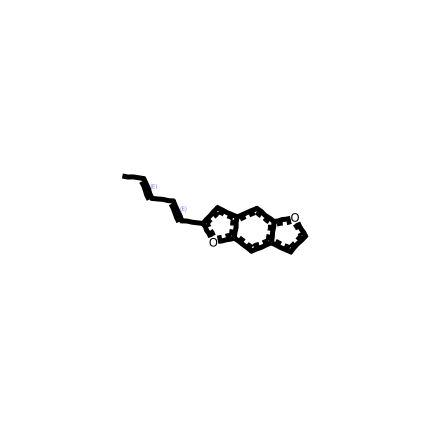 C/C=C/C=C/c1cc2cc3occc3cc2o1